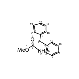 COC(N)=O.c1ccc(Cc2ccccc2)cc1